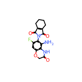 Nc1c2c(cc(F)c1N1C(=O)C3=C(CCCC3)C1=O)OCC(=O)N2